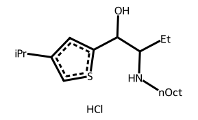 CCCCCCCCNC(CC)C(O)c1cc(C(C)C)cs1.Cl